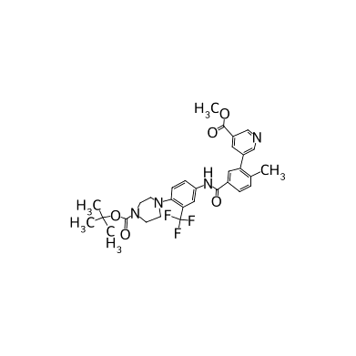 COC(=O)c1cncc(-c2cc(C(=O)Nc3ccc(N4CCN(C(=O)OC(C)(C)C)CC4)c(C(F)(F)F)c3)ccc2C)c1